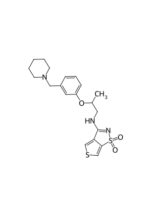 CC(CNC1=NS(=O)(=O)c2cscc21)Oc1cccc(CN2CCCCC2)c1